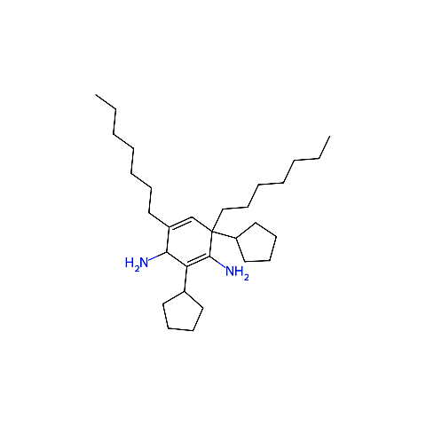 CCCCCCCC1=CC(CCCCCCC)(C2CCCC2)C(N)=C(C2CCCC2)C1N